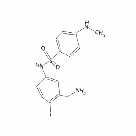 CNc1ccc(S(=O)(=O)Nc2ccc(I)c(CN)c2)cc1